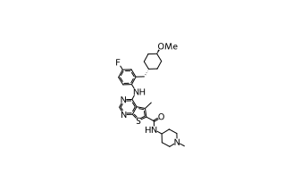 CO[C@H]1CC[C@H](Cc2cc(F)ccc2Nc2ncnc3sc(C(=O)NC4CCN(C)CC4)c(C)c23)CC1